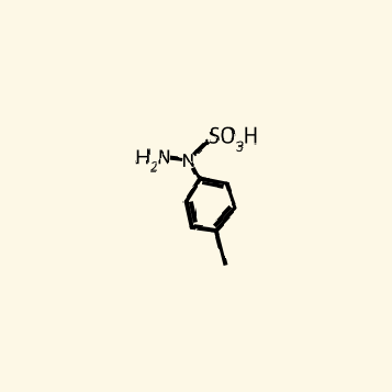 Cc1ccc(N(N)S(=O)(=O)O)cc1